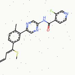 C=C/C=C(\SC)c1ccc(C)c(-c2cnc(NC(=O)c3ccncc3F)cn2)c1